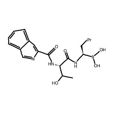 CC(C)C[C@H](NC(=O)[C@@H](NC(=O)c1cc2ccccc2cn1)C(C)O)B(O)O